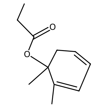 CCC(=O)OC1(C)CC=CC=C1C